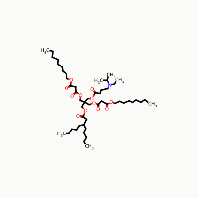 CCCCCCCCCOC(=O)CC(=O)OCC(COC(=O)CCCN(CC)C(C)C)(COC(=O)CC(=O)OCCCCCCCCC)COC(=O)CC(CCCCC)CCCCC